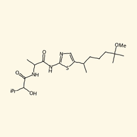 COC(C)(C)CCCC(C)c1cnc(NC(=O)C(C)NC(=O)C(O)C(C)C)s1